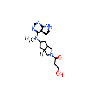 CN(c1ncnc2[nH]ccc12)C1CC2CN(C(=O)CCO)C[C@@H]2C1